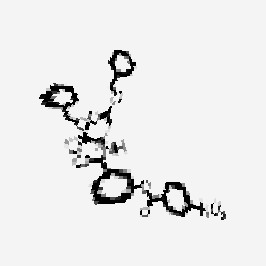 O=C(C[C@H](NC(=O)c1cccc(OC(=O)c2ccc([N+](=O)[O-])cc2)c1)C(=O)OCc1ccccc1)OCc1ccccc1